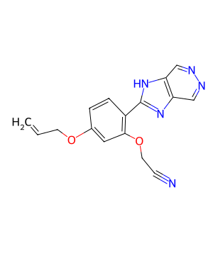 C=CCOc1ccc(-c2nc3cnncc3[nH]2)c(OCC#N)c1